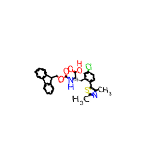 Cc1nc(C)c(-c2ccc(Cl)cc2C[C@H](NC(=O)OCC2c3ccccc3-c3ccccc32)C(=O)O)s1